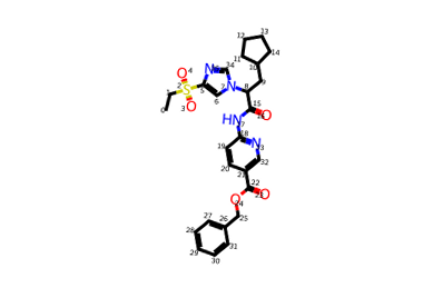 CCS(=O)(=O)c1cn(C(CC2CCCC2)C(=O)Nc2ccc(C(=O)OCc3ccccc3)cn2)cn1